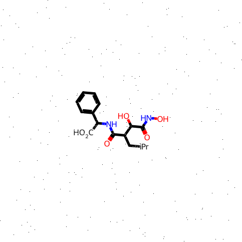 CC(C)CC(C(=O)NC(C(=O)O)c1ccccc1)C(O)C(=O)NO